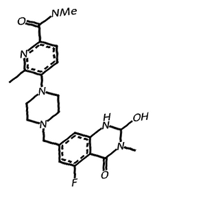 CNC(=O)c1ccc(N2CCN(Cc3cc(F)c4c(c3)NC(O)N(C)C4=O)CC2)c(C)n1